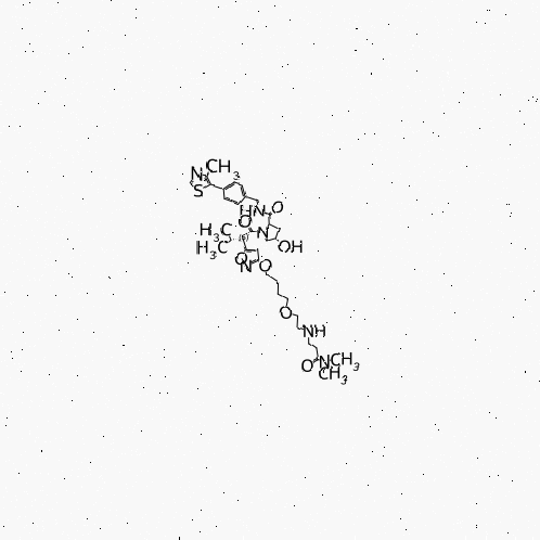 Cc1ncsc1-c1ccc(CNC(=O)C2CC(O)CN2C(=O)[C@H](c2cc(OCCCCOCCNCCC(=O)N(C)C)no2)C(C)C)cc1